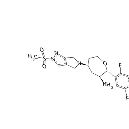 CS(=O)(=O)n1cc2c(n1)CN([C@H]1CCO[C@H](c3cc(F)ccc3F)[C@@H](N)C1)C2